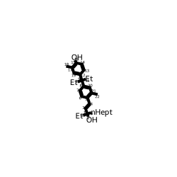 CCCCCCCC(O)(C=Cc1ccc(C(CC)(CC)c2ccc(O)c(C)c2)cc1C)CC